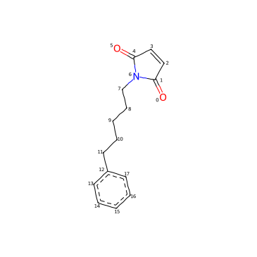 O=C1C=CC(=O)N1CCCCCc1ccccc1